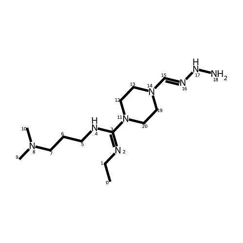 CCN=C(NCCCN(C)C)N1CCN(C=NNN)CC1